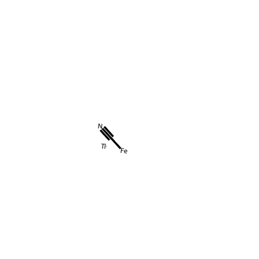 N#[C][Fe].[Tl]